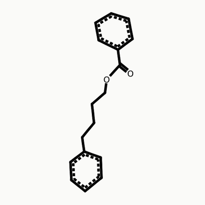 O=C(OCCCCc1ccccc1)c1ccccc1